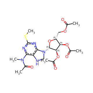 CSc1nc(N(C)C(C)=O)c2c(n1)N([C@@H]1O[C@H](COC(C)=O)[C@@H](OC(C)=O)[C@H]1OC(C)=O)CN2